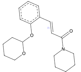 O=C(/C=C/c1ccccc1OC1CCCCO1)N1CCCCC1